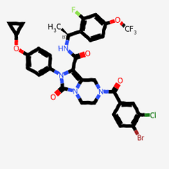 C[C@H](NC(=O)c1c2n(c(=O)n1-c1ccc(OC3CC3)cc1)CCN(C(=O)c1ccc(Br)c(Cl)c1)C2)c1ccc(OC(F)(F)F)cc1F